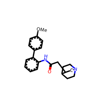 COc1ccc(-c2ccccc2NC(=O)CC2CN3CCC2CC3)cc1